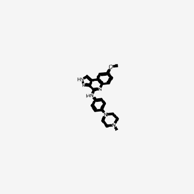 COc1ccc2nc(Nc3ccc(N4CCN(C)CC4)cc3)c3n[nH]cc3c2c1